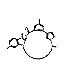 Cc1ccc2c(c1)N1CCCCCCCCC(=O)n3cc(cn3)-c3cc(cc(C)n3)C(=O)/N=C/1N2